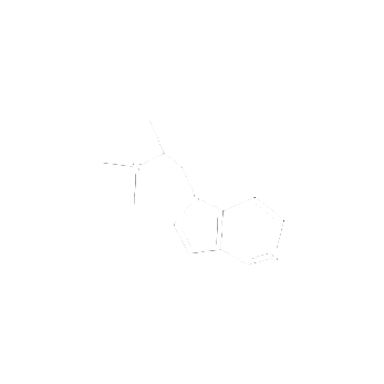 CC(Cn1ccc2cnccc21)N(C)C